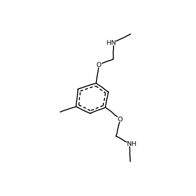 CNCOc1cc(C)cc(OCNC)c1